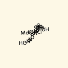 COc1cc2c(cc1Nc1ncc(Cl)c(Nc3ccccc3S(=O)(=O)N3CC[C@H](CO)C3)n1)CCCC(N1CCN(CCO)CC1)C2